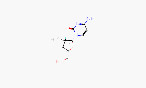 CC1(F)C[C@@H](CO)O[C@H]1n1ccc(N)nc1=O